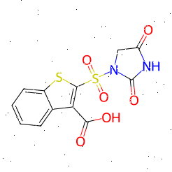 O=C1CN(S(=O)(=O)c2sc3ccccc3c2C(=O)O)C(=O)N1